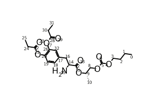 CCCCOC(=O)OC[C@H](C)OC(=O)[C@@H](N)Cc1ccc(OC(=O)CC)c(OC(=O)CC)c1